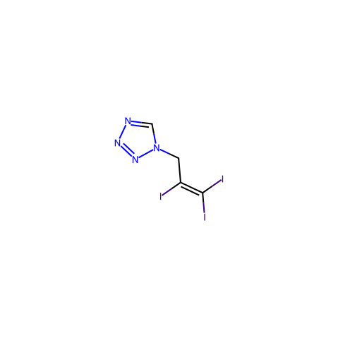 IC(I)=C(I)Cn1cnnn1